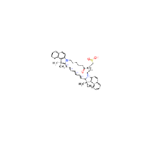 CC(=O)CCCCCN1\C(=C/C=C/C=C/C=C/C2=[N+](CCCCS(=O)O)c3ccc4ccccc4c3C2(C)C)C(C)(C)c2c1ccc1ccccc21